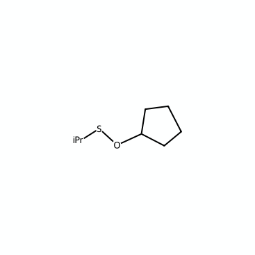 CC(C)SOC1CCCC1